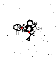 O=C(O)c1ccc2nc(N3C4CC[C@H]3C[C@H](OCc3c(-c5c(Cl)cccc5Cl)noc3C3CC3)C4)sc2c1